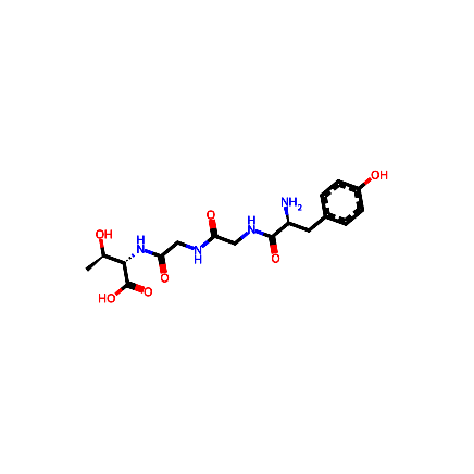 C[C@@H](O)[C@H](NC(=O)CNC(=O)CNC(=O)[C@@H](N)Cc1ccc(O)cc1)C(=O)O